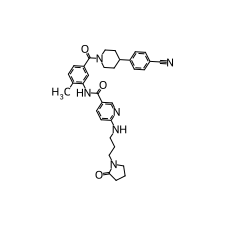 Cc1ccc(C(=O)N2CCC(c3ccc(C#N)cc3)CC2)cc1NC(=O)c1ccc(NCCCN2CCCC2=O)nc1